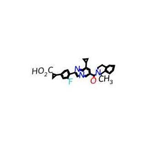 C[C@@H]1c2ccccc2CCN1C(=O)c1cc(C2CC2)c2nc(-c3ccc(C4C[C@@H]4C(=O)O)cc3F)cn2c1